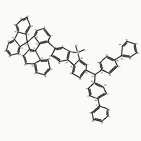 CS1(C)c2cc(-c3cccc4c3-c3c(ccc5ccccc35)C43c4ccccc4-c4ccccc43)ccc2-c2ccc(C(c3ccc(-c4ccccc4)cc3)c3ccc(-c4ccccc4)cc3)cc21